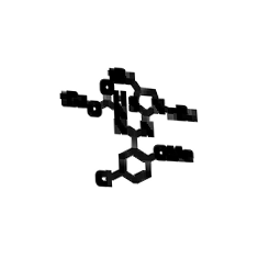 CCCCn1cc(C(C)(C)C)sc1=NC(=NNC(=O)OC(C)(C)C)c1cc(Cl)ccc1OC